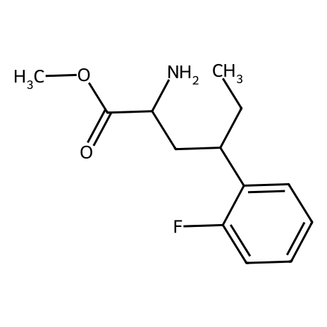 CCC(CC(N)C(=O)OC)c1ccccc1F